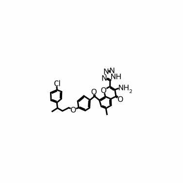 Cc1cc(C(=O)c2ccc(OCCC(C)c3ccc(Cl)cc3)cc2)c2oc(-c3nnn[nH]3)c(N)c(=O)c2c1